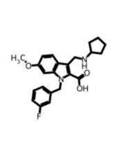 COc1ccc2c(CNC3CCCC3)c(C(=O)O)n(Cc3cccc(F)c3)c2c1